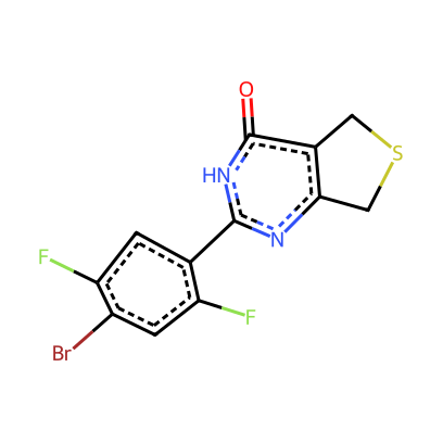 O=c1[nH]c(-c2cc(F)c(Br)cc2F)nc2c1CSC2